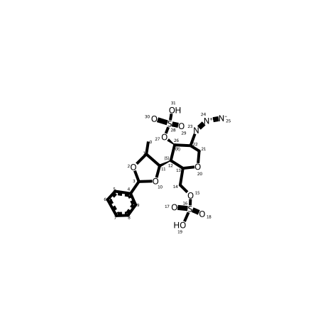 CC1OC(c2ccccc2)OC1[C@@H]1C(COS(=O)(=O)O)OCC(N=[N+]=[N-])[C@@H]1OS(=O)(=O)O